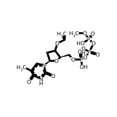 C=COC1C[C@H](n2cc(C)c(=O)[nH]c2=O)O[C@@H]1COP(=O)(O)OP(=O)(O)OP(=O)(O)OC